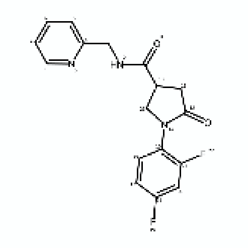 O=C(NCc1ccccn1)C1CC(=O)N(c2ccc(F)cc2F)C1